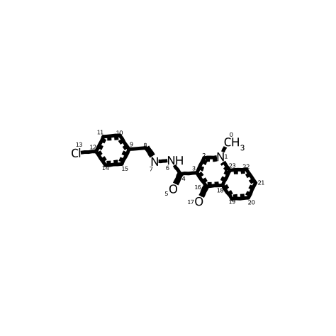 Cn1cc(C(=O)NN=Cc2ccc(Cl)cc2)c(=O)c2ccccc21